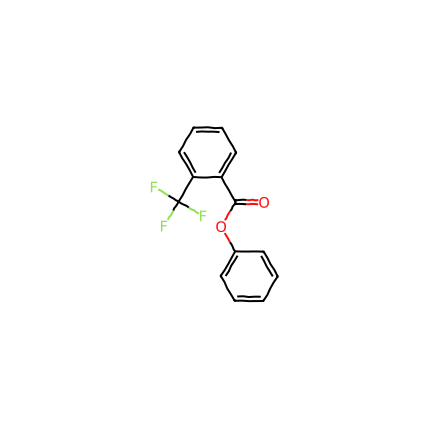 O=C(Oc1ccccc1)c1ccccc1C(F)(F)F